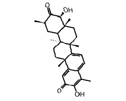 CC1=C(O)C(=O)C=C2C1=CC=C1[C@@]2(C)CC[C@@]2(C)C3C[C@@H](C)C(=O)[C@@H](O)[C@]3(C)CC[C@]12C